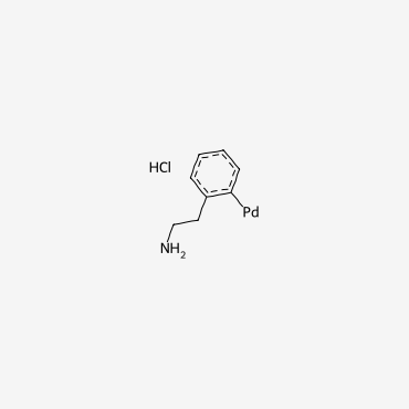 Cl.NCCc1cccc[c]1[Pd]